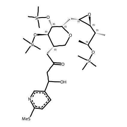 CSc1ccc(C(O)CC(=O)C[C@H]2CO[C@@H](C[C@@H]3O[C@H]3[C@H](C)[C@H](C)O[Si](C)(C)C)[C@@H](O[Si](C)(C)C)[C@@H]2O[Si](C)(C)C)cn1